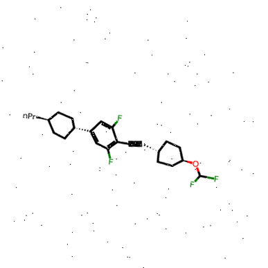 CCC[C@H]1CC[C@H](c2cc(F)c(C#C[C@H]3CC[C@H](OC(F)F)CC3)c(F)c2)CC1